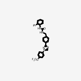 CC(C)c1ccccc1NC(=O)NCc1ccc(-c2ncn(-c3ccc(OC(F)(F)F)cc3)n2)cc1